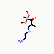 CO[Si](C)(OC)C(=O)C(C)CNCCN